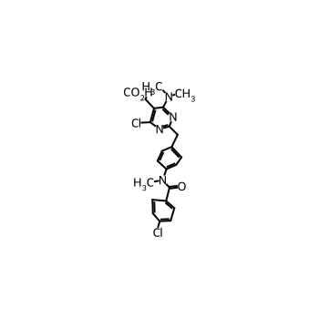 CN(C)c1nc(Cc2ccc(N(C)C(=O)c3ccc(Cl)cc3)cc2)nc(Cl)c1CC(=O)O